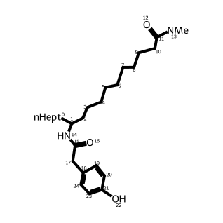 CCCCCCCC(CCCCCCCCCC(=O)NC)NC(=O)Cc1ccc(O)cc1